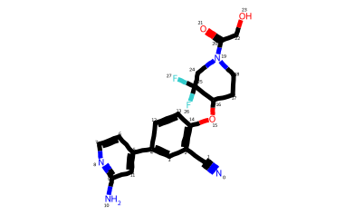 N#Cc1cc(-c2ccnc(N)c2)ccc1OC1CCN(C(=O)CO)CC1(F)F